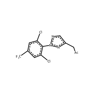 CC(=O)Cc1cnn(-c2c(Cl)cc(C(F)(F)F)cc2Cl)n1